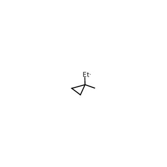 C[CH]C1(C)CC1